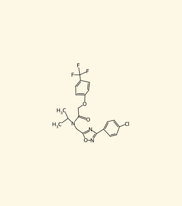 CC(C)N(Cc1nc(-c2ccc(Cl)cc2)no1)C(=O)COc1ccc(C(F)(F)F)cc1